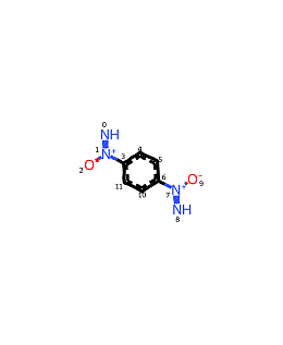 N=[N+]([O-])c1ccc([N+](=N)[O-])cc1